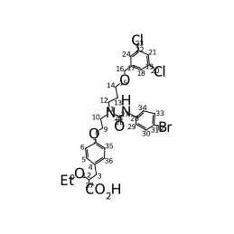 CCOC(Cc1ccc(OCCN(CCCOCc2cc(Cl)cc(Cl)c2)C(=O)Nc2ccc(Br)cc2)cc1)C(=O)O